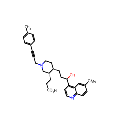 COc1ccc2nccc([C@H](O)CC[C@@H]3CCN(CC#Cc4ccc(C)cc4)C[C@H]3CCC(=O)O)c2c1